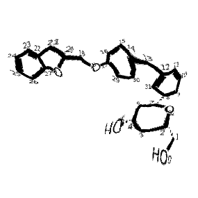 OC[C@@H]1C[C@H](O)C[C@H](c2cccc(Cc3ccc(OCC4Cc5ccccc5O4)cc3)c2)O1